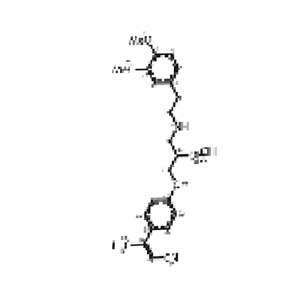 COc1ccc(CCNCC(O)COc2ccc(/C(C)=C\C#N)cc2)cc1OC.Cl